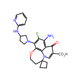 Nc1c(F)c(N2CCC(Nc3ccccn3)C2)c2c3c1c(=O)c(C(=O)O)cn3C1(CCC1)CCO2